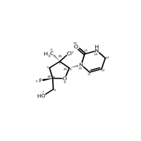 C[C@@]1(Cl)C[C@@](F)(CO)O[C@H]1N1C=CCNC1=O